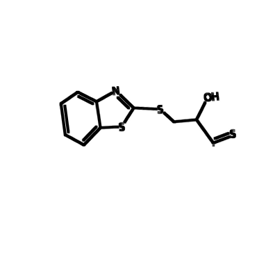 OC([C]=S)CSc1nc2ccccc2s1